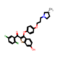 C[C@@H]1CCN(CCCOc2ccc(Oc3c(C(=O)c4cc(F)ccc4F)sc4cc(O)ccc34)cc2)C1